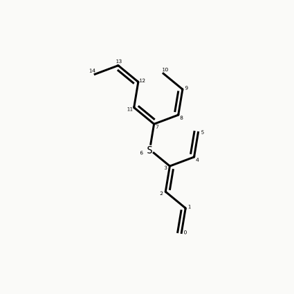 C=C/C=C(\C=C)SC(/C=C\C)=C/C=C\C